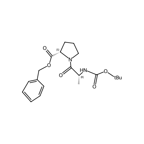 C[C@@H](NC(=O)OC(C)(C)C)C(=O)N1CCC[C@H]1C(=O)OCc1ccccc1